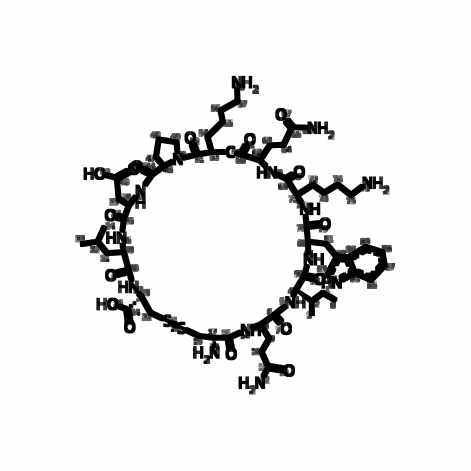 CCC(C)[C@H]1NC(=O)C(CCC(N)=O)NC(=O)[C@H](N)CSSC[C@H](C(=O)O)NC(=O)C(CC(C)C)NC(=O)C(CC(=O)O)NC(=O)C2CCCN2C(=O)C(CCCCN)CC(=O)C(CCC(N)=O)NC(=O)C(CCCCN)NC(=O)C(Cc2c[nH]c3ccccc23)NC1=O